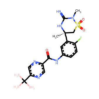 BC(B)(B)c1cnc(C(=O)Nc2ccc(F)c([C@]3(C)CS(=O)(=O)N(C)C(=N)N3)c2)cn1